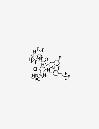 Cn1nc(NS(C)(=O)=O)c2c(Cl)ccc(N3Cc4ccc(CCC(F)(F)F)cc4N=C3[C@H](Cc3cc(F)cc(F)c3)NC(=O)Cn3nc(C(F)F)c4c3C(F)(F)[C@@H]3C[C@H]43)c21